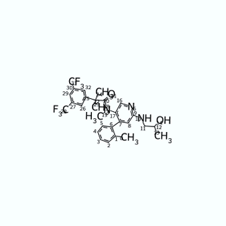 Cc1ccccc1-c1cc(NCC(C)O)ncc1N(C)C(=O)C(C)(C)c1cc(C(F)(F)F)cc(C(F)(F)F)c1